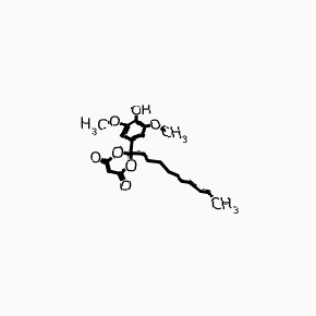 CCCCCCCCCCC1(c2cc(OC)c(O)c(OC)c2)OC(=O)CC(=O)O1